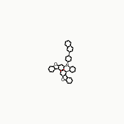 c1ccc(N(c2ccc(-c3ccc4ccccc4c3)cc2)c2ccc3c(c2)oc2ccccc23)c(-c2cccc3oc4ccccc4c23)c1